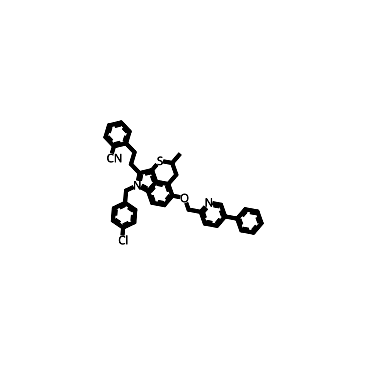 CC1Cc2c(OCc3ccc(-c4ccccc4)cn3)ccc3c2c(c(CCc2ccccc2C#N)n3Cc2ccc(Cl)cc2)S1